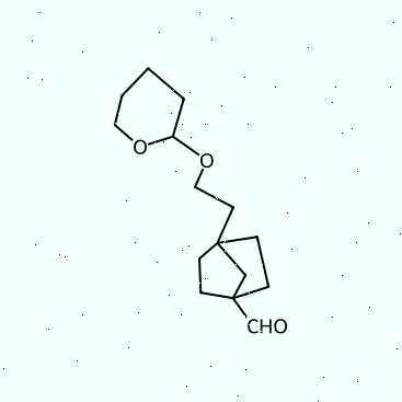 O=CC12CCC(CCOC3CCCCO3)(CC1)C2